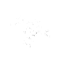 Cc1c(F)cccc1[C@H]1[C@@H](C(=O)c2cccc(O)c2)CNC[C@@]1(CCCCN(C)C)C(=O)N1CCNC(=O)C1